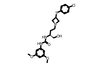 COc1cc(NC(=O)N[C@H](CO)CCN2CC(Sc3ccc(Cl)cc3)C2)cc(OC)c1